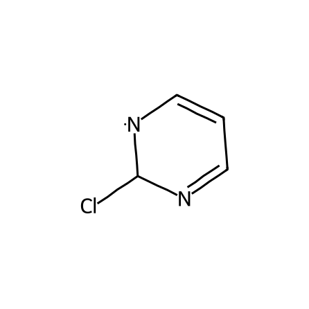 ClC1[N]C=CC=N1